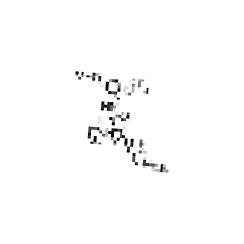 COCc1ccc(OC(F)(F)F)c(CNC(=O)Nc2c(C)c(OC[C@@H]3CCN(C(C)(C)C)C[C@H]3F)nn2-c2ccccc2)c1